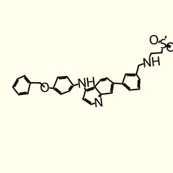 CS(=O)(=O)CCNCc1cccc(-c2ccc3c(Nc4ccc(OCc5ccccc5)cc4)ccnc3c2)c1